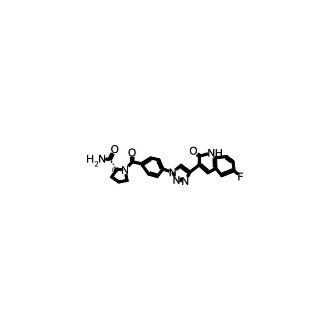 NC(=O)[C@H]1CCCN1C(=O)c1ccc(-n2cc(-c3cc4cc(F)ccc4[nH]c3=O)nn2)cc1